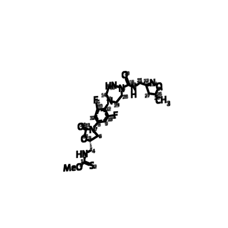 COC(=S)NC[C@H]1CN(c2cc(F)c(N3CCNN(C(=O)NCC4=NOC(C)C4)CC3)c(F)c2)C(=O)O1